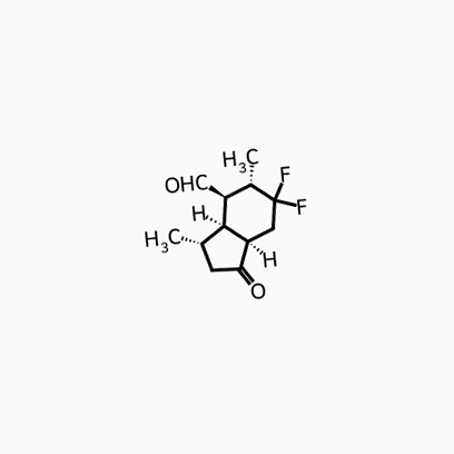 C[C@H]1CC(=O)[C@@H]2CC(F)(F)[C@@H](C)[C@H](C=O)[C@H]12